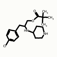 CC(C)(C)C(=O)OCC(Cc1ccc(Cl)cc1)NC1CCNCC1